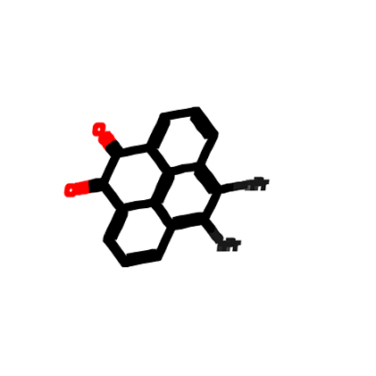 CCCc1c(CCC)c2cccc3c(=O)c(=O)c4cccc1c4c23